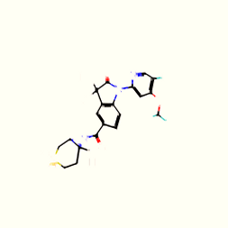 CC1(NC(=O)c2ccc3c(c2)C(C)(C)C(=O)N3c2cc(OC(F)F)c(F)cn2)CCS(=O)(=O)CC1